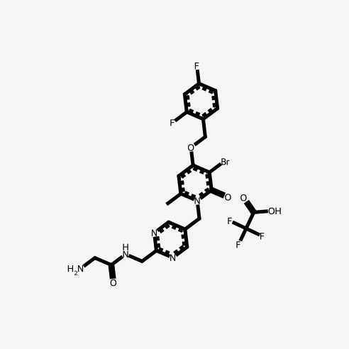 Cc1cc(OCc2ccc(F)cc2F)c(Br)c(=O)n1Cc1cnc(CNC(=O)CN)nc1.O=C(O)C(F)(F)F